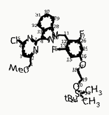 COCc1cc(Cl)nc(-c2nn(Cc3c(F)cc(OCCO[Si](C)(C)C(C)(C)C)cc3F)c3ccccc23)n1